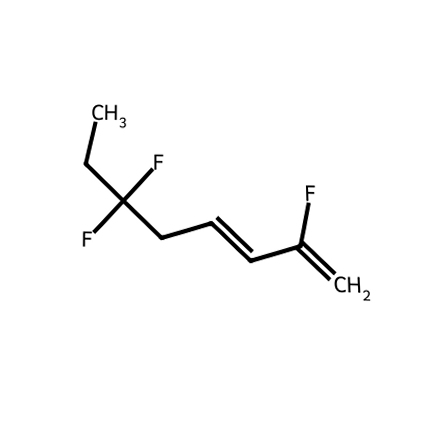 C=C(F)/C=C/CC(F)(F)CC